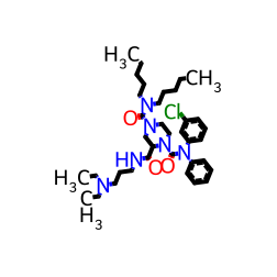 CCCCCN(CCCCC)C(=O)N1CCN(C(=O)N(c2ccccc2)c2cccc(Cl)c2)C(C(=O)NCCCN(CC)CC)C1